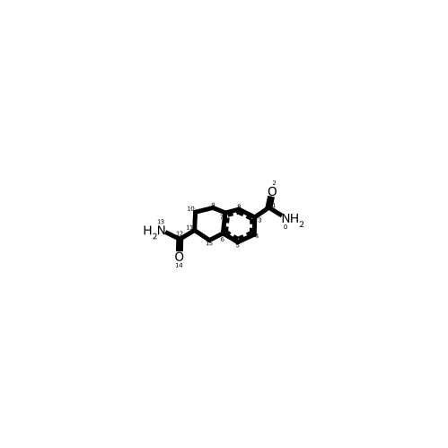 NC(=O)c1ccc2c(c1)CCC(C(N)=O)C2